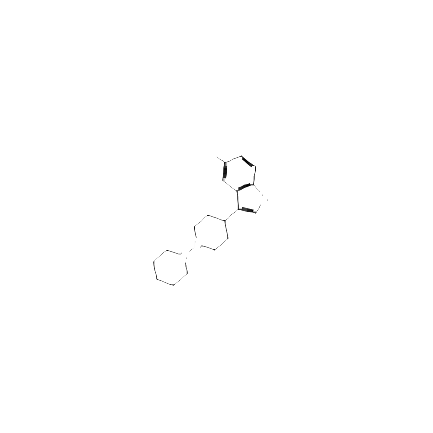 Oc1ccc2[nH]cc(C3CCN(N4CCCCC4)CC3)c2c1